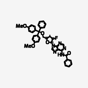 COc1ccc(C(OC[C@H]2[CH][C@@H](F)[C@H](n3cnc4c(NC(=O)c5ccccc5)ncnc43)O2)(c2ccccc2)c2ccc(OC)cc2)cc1